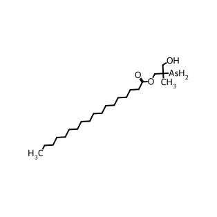 CCCCCCCCCCCCCCCCCC(=O)OCC(C)([AsH2])CO